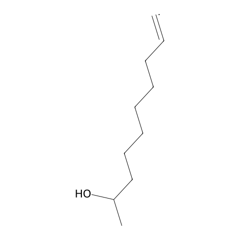 [CH]=CCCCCCCC(C)O